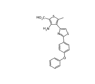 Cc1sc(C(=O)O)c(N)c1-c1csc(-c2ccc(Oc3ccccc3)cc2)n1